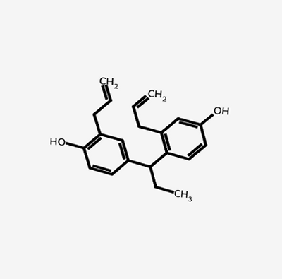 C=CCc1cc(C(CC)c2ccc(O)cc2CC=C)ccc1O